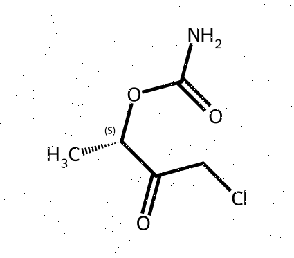 C[C@H](OC(N)=O)C(=O)CCl